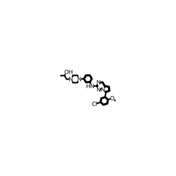 COc1ccc(Cl)cc1-c1ccc2cnc(Nc3cccc(N4CCN(CC(C)O)CC4)c3)nn12